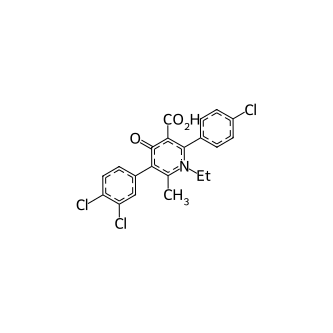 CCn1c(C)c(-c2ccc(Cl)c(Cl)c2)c(=O)c(C(=O)O)c1-c1ccc(Cl)cc1